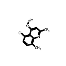 CCCOc1cc(C(F)(F)F)nc2c(C)ccc(Cl)c12